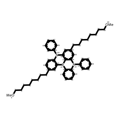 COCCCCCCCCc1ccc2c(c1)B1c3ccccc3N(c3ccccc3)c3cc(CCCCCCCCOC)cc(c31)N2c1ccccc1